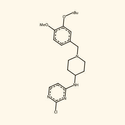 CCCCOc1cc(CN2CCC(Nc3ccnc(Cl)n3)CC2)ccc1OC